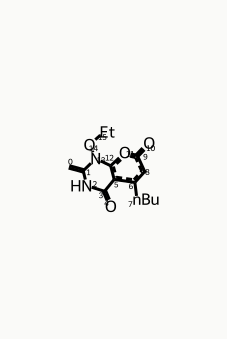 C=C1NC(=O)c2c(CCCC)cc(=O)oc2N1OCC